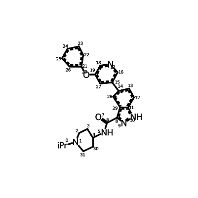 CC(C)N1CCC(NC(=O)c2n[nH]c3ccc(-c4cncc(Oc5ccccc5)c4)cc23)CC1